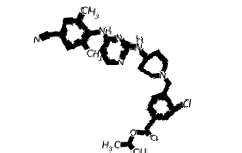 Cc1cc(C#N)cc(C)c1Nc1ccnc(NC2CCN(Cc3ccc(C(=O)OC(C)C)cc3Cl)CC2)n1